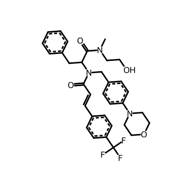 CN(CCO)C(=O)C(Cc1ccccc1)N(Cc1ccc(N2CCOCC2)cc1)C(=O)C=Cc1ccc(C(F)(F)F)cc1